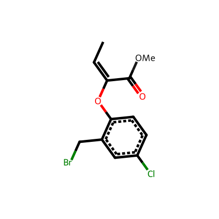 CC=C(Oc1ccc(Cl)cc1CBr)C(=O)OC